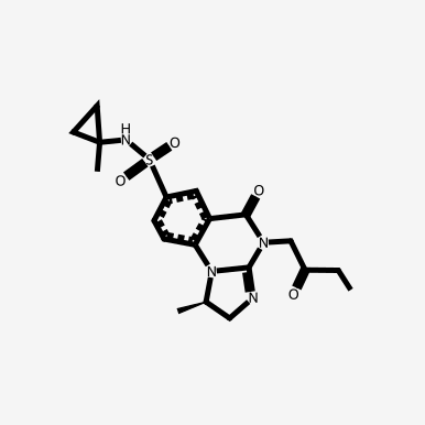 CCC(=O)CN1C(=O)c2cc(S(=O)(=O)NC3(C)CC3)ccc2N2C1=NC[C@H]2C